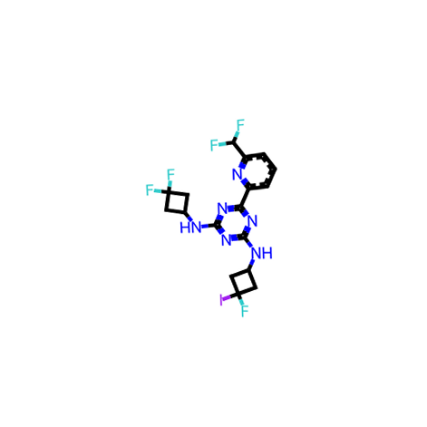 FC(F)c1cccc(-c2nc(NC3CC(F)(F)C3)nc(NC3CC(F)(I)C3)n2)n1